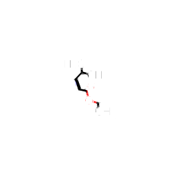 CCOC(=O)/C=C\C(C)C